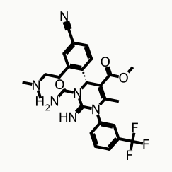 COC(=O)C1=C(C)N(c2cccc(C(F)(F)F)c2)C(=N)N(C(N)=O)[C@@H]1c1ccc(C#N)cc1CCN(C)C